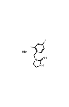 Br.N=C1NCCN1Cc1ccc(F)cc1F